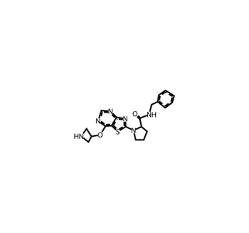 O=C(NCc1ccccc1)C1CCCN1c1nc2ncnc(OC3CNC3)c2s1